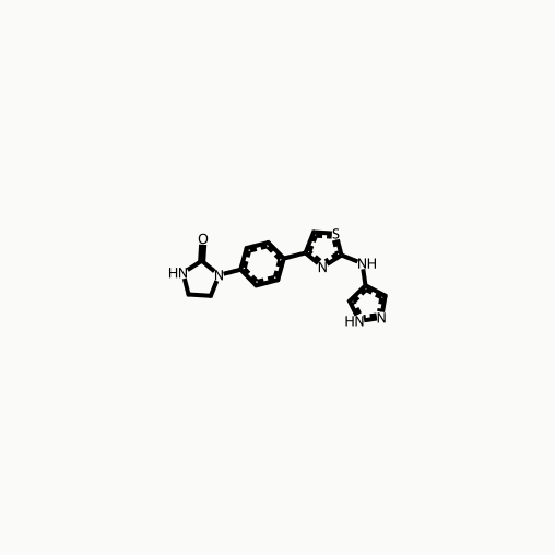 O=C1NCCN1c1ccc(-c2csc(Nc3cn[nH]c3)n2)cc1